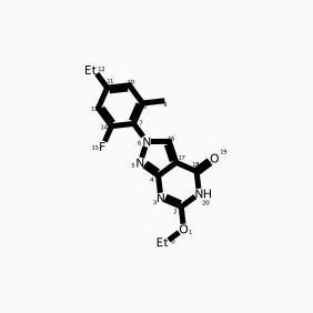 CCOc1nc2nn(-c3c(C)cc(CC)cc3F)cc2c(=O)[nH]1